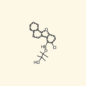 CC(C)(O)C(C)(C)OBc1c(Cl)ccc2oc3c4ccccc4ccc3c12